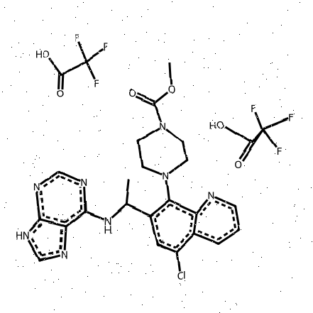 COC(=O)N1CCN(c2c(C(C)Nc3ncnc4[nH]cnc34)cc(Cl)c3cccnc23)CC1.O=C(O)C(F)(F)F.O=C(O)C(F)(F)F